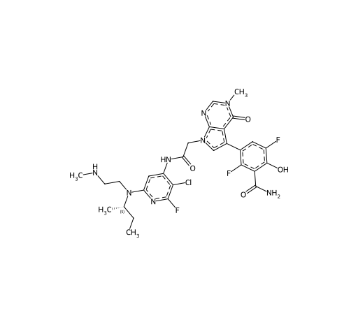 CC[C@H](C)N(CCNC)c1cc(NC(=O)Cn2cc(-c3cc(F)c(O)c(C(N)=O)c3F)c3c(=O)n(C)cnc32)c(Cl)c(F)n1